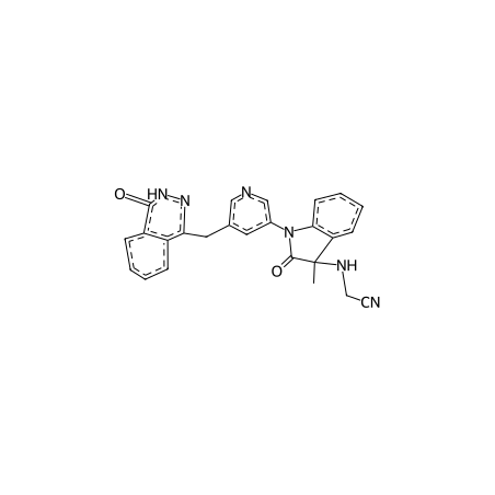 CC1(NCC#N)C(=O)N(c2cncc(Cc3n[nH]c(=O)c4ccccc34)c2)c2ccccc21